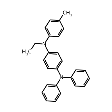 CCN(c1ccc(C)cc1)c1ccc(N(c2ccccc2)c2ccccc2)cc1